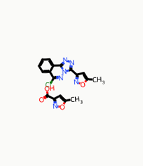 Cc1cc(-c2nnc3c4ccccc4c(Cl)nn23)no1.Cc1cc(C(=O)O)no1